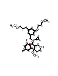 COCCCc1cc(CN(C(=O)C2CNCCC2(OC)c2cc(F)cc(F)c2)C2CC2)cc(OCCOC)c1